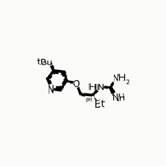 CC[C@H](COc1cncc(C(C)(C)C)c1)NC(=N)N